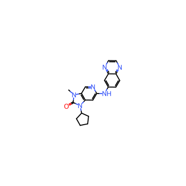 Cn1c(=O)n(C2CCCC2)c2cc(Nc3ccc4nccnc4c3)ncc21